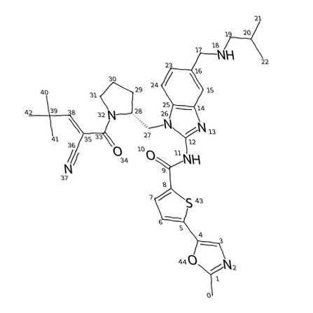 Cc1ncc(-c2ccc(C(=O)Nc3nc4cc(CNCC(C)C)ccc4n3C[C@H]3CCCN3C(=O)/C(C#N)=C/C(C)(C)C)s2)o1